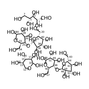 O=C[C@H](O)[C@H](O)[C@H](O)CO.OC1OC[C@@H](O)[C@H](O)[C@H]1O.OC[C@H]1O[C@@H](O[C@H]2[C@H](O)[C@@H](O)[C@H](O)O[C@@H]2CO)[C@H](O)[C@@H](O)[C@H]1O.OC[C@H]1O[C@H](O[C@H]2[C@H](O)[C@@H](O)[C@H](O)O[C@@H]2CO)[C@H](O)[C@@H](O)[C@@H]1O